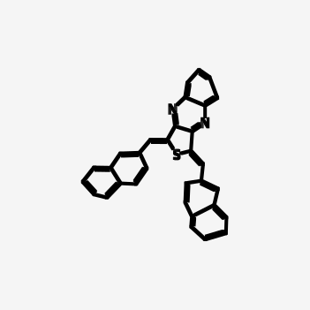 C(c1ccc2ccccc2c1)=c1sc(=Cc2ccc3ccccc3c2)c2nc3ccccc3nc12